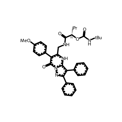 COc1ccc(-c2c(CNC(=O)[C@@H](OC(=O)NC(C)(C)C)C(C)C)[nH]c3c(-c4ccccc4)c(-c4ccccc4)nn3c2=O)cc1